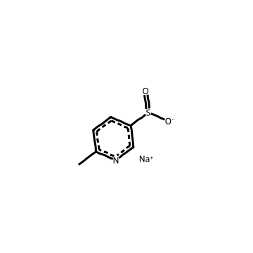 Cc1ccc(S(=O)[O-])cn1.[Na+]